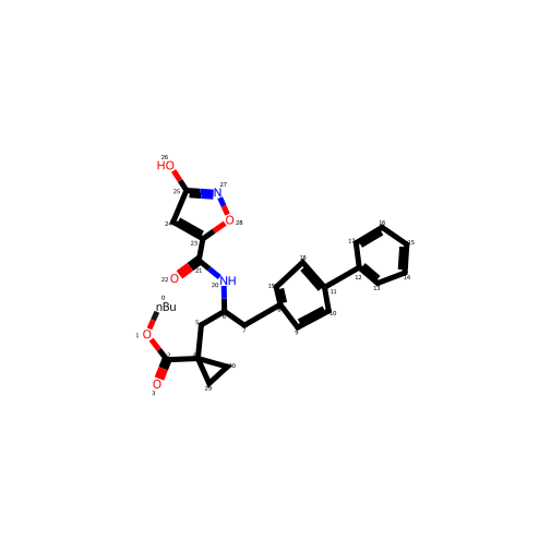 CCCCOC(=O)C1(CC(Cc2ccc(-c3ccccc3)cc2)NC(=O)c2cc(O)no2)CC1